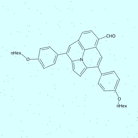 CCCCCCOc1ccc(-c2cc3ccc(C=O)c4cc(-c5ccc(OCCCCCC)cc5)c5ccc2n5c34)cc1